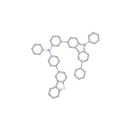 c1ccc(-c2ccc3c(c2)c2cc(-c4cccc(N(c5ccccc5)c5ccc(-c6ccc7sc8ccccc8c7c6)cc5)c4)ccc2n3-c2ccccc2)cc1